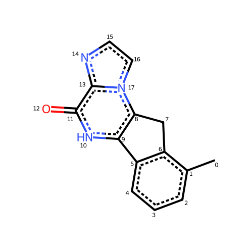 Cc1cccc2c1Cc1c-2[nH]c(=O)c2nccn12